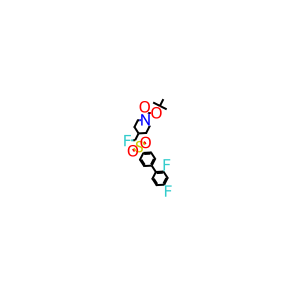 CC(C)(C)OC(=O)N1CCC(C(F)S(=O)(=O)c2ccc(-c3ccc(F)cc3F)cc2)CC1